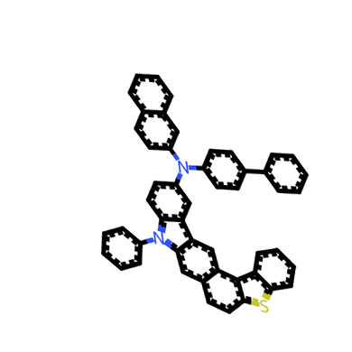 c1ccc(-c2ccc(N(c3ccc4ccccc4c3)c3ccc4c(c3)c3cc5c(ccc6sc7ccccc7c65)cc3n4-c3ccccc3)cc2)cc1